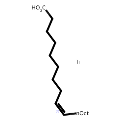 CCCCCCCC/C=C\CCCCCCCC(=O)O.[Ti]